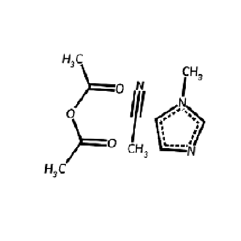 CC#N.CC(=O)OC(C)=O.Cn1ccnc1